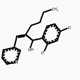 CCCCC(=Cc1cccnc1)C(O)c1ccc(Cl)cc1Cl